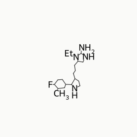 CCN1C(CCCC2CCNC2C2CCC(F)C(C)C2)CNC1N